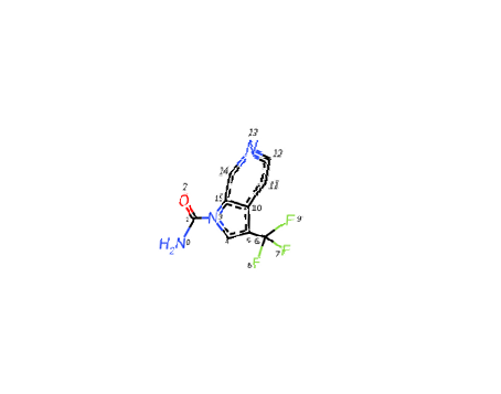 NC(=O)n1cc(C(F)(F)F)c2ccncc21